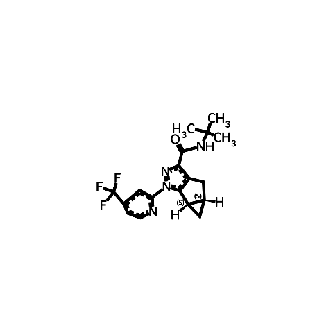 CC(C)(C)NC(=O)c1nn(-c2cc(C(F)(F)F)ccn2)c2c1C[C@@H]1C[C@H]21